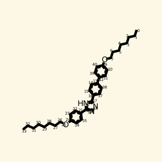 CCCCCCCCOc1ccc(-c2ccc(-c3nnc(-c4ccc(OCCCCCCCC)cc4)[nH]3)cc2)cc1